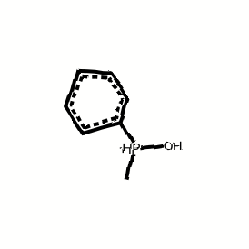 C[PH](O)c1ccccc1